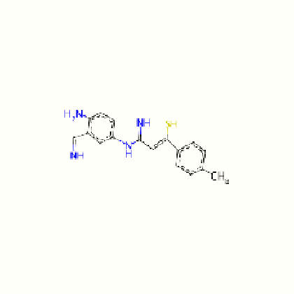 Cc1ccc(/C(S)=C/C(=N)Nc2ccc(N)c(C=N)c2)cc1